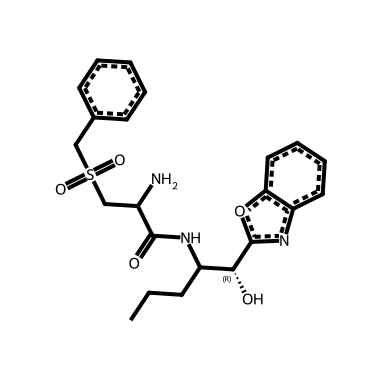 CCCC(NC(=O)C(N)CS(=O)(=O)Cc1ccccc1)[C@@H](O)c1nc2ccccc2o1